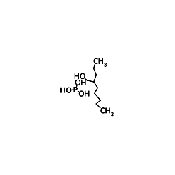 CCCCCC(CO)CCC.OP(O)O